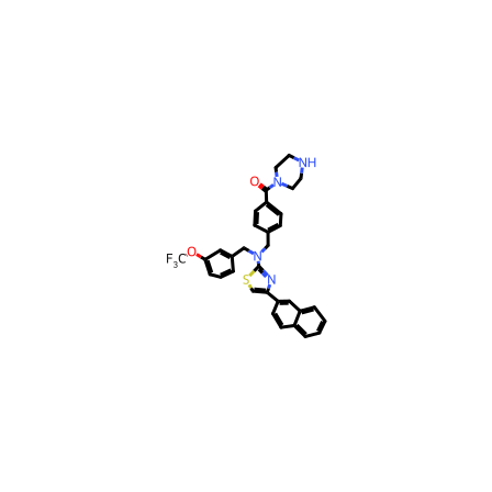 O=C(c1ccc(CN(Cc2cccc(OC(F)(F)F)c2)c2nc(-c3ccc4ccccc4c3)cs2)cc1)N1CCNCC1